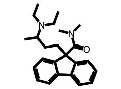 CCN(CC)C(C)CCC1(C(=O)N(C)C)c2ccccc2-c2ccccc21